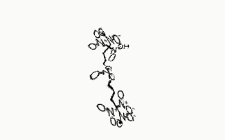 O=[N+](OCCCC([N+](=O)[O-])([N+](=O)[O-])[N+](=O)[O-])OCCCC([N+](=O)[O-])([N+](=O)[O-])[N+](=O)O